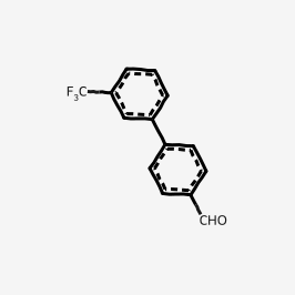 O=Cc1ccc(-c2cccc(C(F)(F)F)c2)cc1